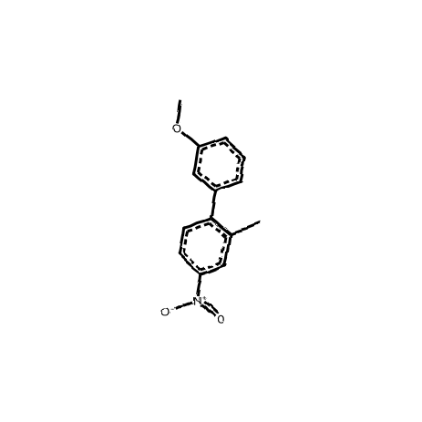 COc1cccc(-c2ccc([N+](=O)[O-])cc2C)c1